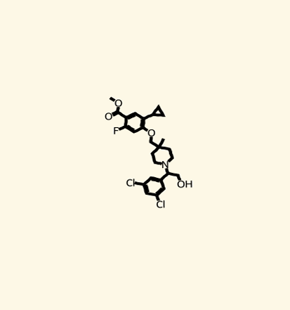 COC(=O)c1cc(C2CC2)c(OCC2(C)CCN(C(CO)c3cc(Cl)cc(Cl)c3)CC2)cc1F